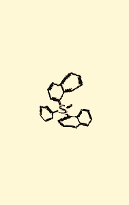 CS(c1ccccc1)(c1cccc2ccccc12)c1cccc2ccccc12